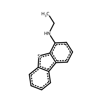 CCNc1cccc2c1sc1ccccc12